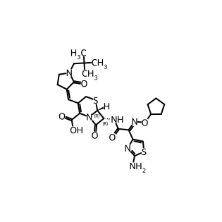 CC(C)(C)CN1CCC(=CC2=C(C(=O)O)N3C(=O)[C@@H](NC(=O)C(=NOC4CCCC4)c4csc(N)n4)[C@H]3SC2)C1=O